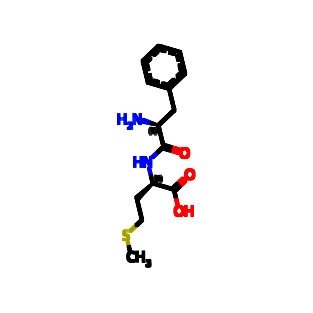 CSCC[C@@H](NC(=O)[C@@H](N)Cc1ccccc1)C(=O)O